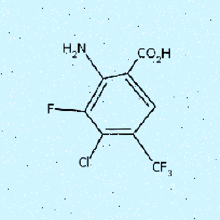 Nc1c(C(=O)O)cc(C(F)(F)F)c(Cl)c1F